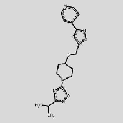 CC(C)c1noc(N2CCC(OCc3nc(-c4ccncc4)no3)CC2)n1